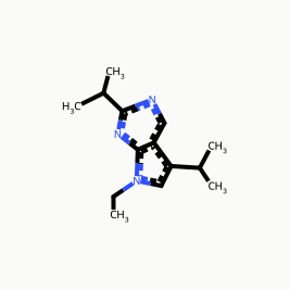 CCn1cc(C(C)C)c2cnc(C(C)C)nc21